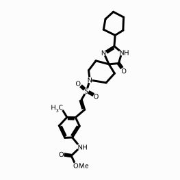 COC(=O)Nc1ccc(C)c(C=CS(=O)(=O)N2CCC3(CC2)N=C(C2CCCCC2)NC3=O)c1